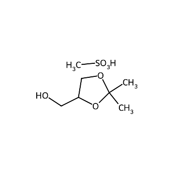 CC1(C)OCC(CO)O1.CS(=O)(=O)O